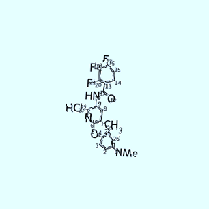 CNc1ccc(Oc2ccc(NC(=O)c3ccc(F)c(F)c3F)cn2)c(C)c1.Cl